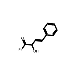 CCC(=O)C(O)C=Cc1ccccc1